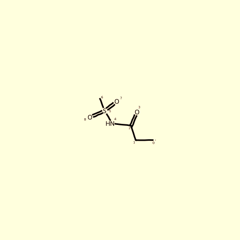 [CH2]CC(=O)NS(C)(=O)=O